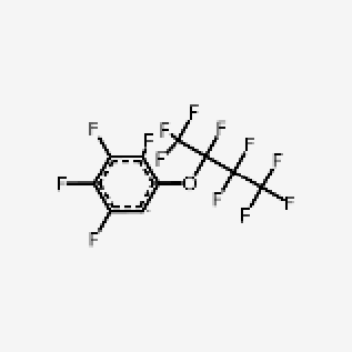 Fc1[c]c(OC(F)(C(F)(F)F)C(F)(F)C(F)(F)F)c(F)c(F)c1F